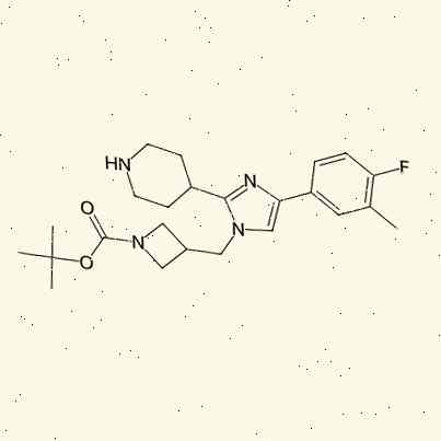 Cc1cc(-c2cn(CC3CN(C(=O)OC(C)(C)C)C3)c(C3CCNCC3)n2)ccc1F